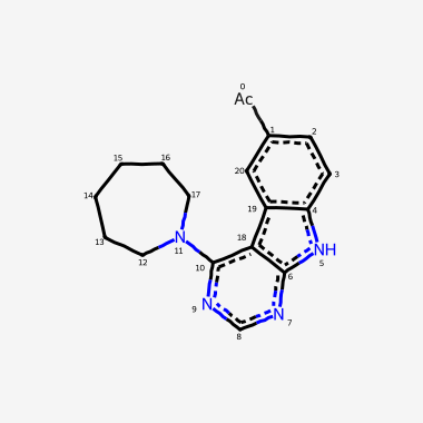 CC(=O)c1ccc2[nH]c3ncnc(N4CCCCCC4)c3c2c1